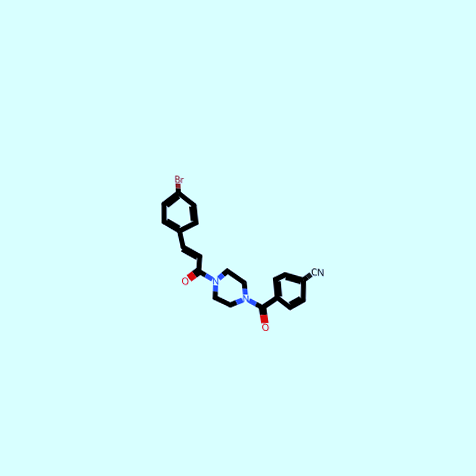 N#Cc1ccc(C(=O)N2CCN(C(=O)/C=C/c3ccc(Br)cc3)CC2)cc1